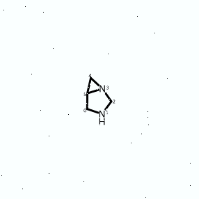 C1NCN2CC12